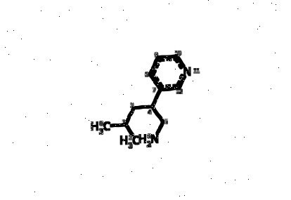 CC(C)CC(CN)c1cccnc1